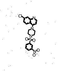 O=[N+]([O-])c1cccc(S(=O)(=O)N2CCN(c3ccnc4cc(Cl)ccc34)CC2)c1